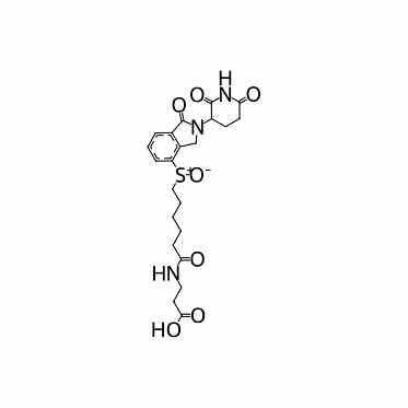 O=C(O)CCNC(=O)CCCCC[S+]([O-])c1cccc2c1CN(C1CCC(=O)NC1=O)C2=O